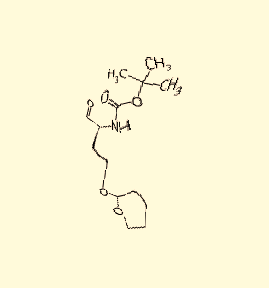 CC(C)(C)OC(=O)N[C@H](C=O)CCOC1CCCCO1